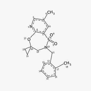 Cc1cnc2c(c1)S(=O)(=O)N(Cc1ccccc1C)CC1(CC1)O2